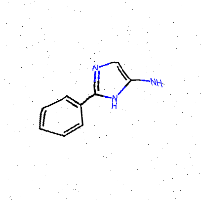 [NH]c1cnc(-c2ccccc2)[nH]1